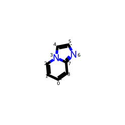 [c]1ccn2c[c]nc2c1